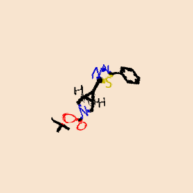 CC(C)(C)OC(=O)N1C[C@@H]2C(c3nnc(-c4ccccc4)s3)[C@@H]2C1